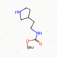 CC(C)(C)OC(=O)NCCC1CCNC1